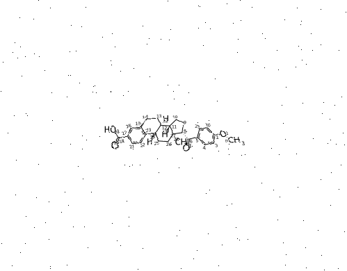 COc1ccc(C(=O)[C@H]2CC[C@H]3[C@@H]4CCc5cc(C(=O)O)ccc5[C@H]4CC[C@]23C)cc1